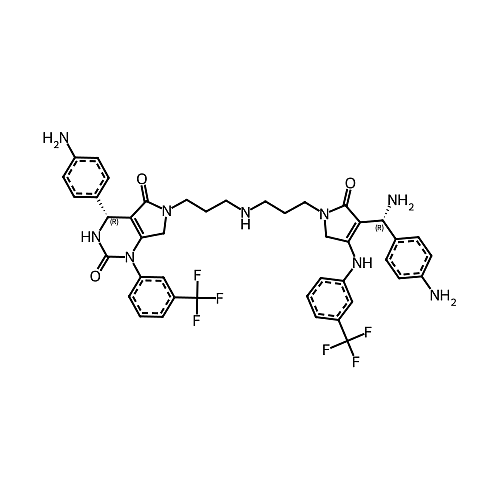 Nc1ccc([C@@H](N)C2=C(Nc3cccc(C(F)(F)F)c3)CN(CCCNCCCN3CC4=C(C3=O)[C@@H](c3ccc(N)cc3)NC(=O)N4c3cccc(C(F)(F)F)c3)C2=O)cc1